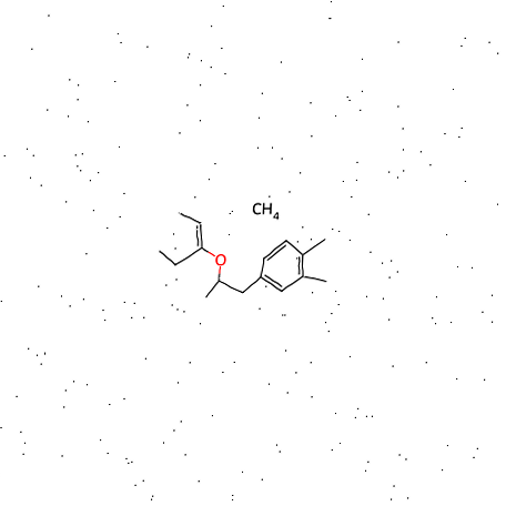 C.C/C=C(\CC)OC(C)Cc1ccc(C)c(C)c1